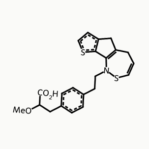 COC(Cc1ccc(CCN2SC=CCC3=C2c2sccc2C3)cc1)C(=O)O